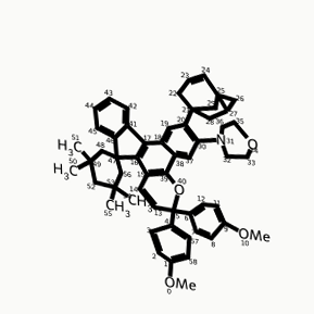 COc1ccc(C2(c3ccc(OC)cc3)C=Cc3c4c(c5cc(C67CC=CC8(CC8C6)C7)c(N6CCOCC6)cc5c3O2)-c2ccccc2C42CC(C)(C)CC(C)(C)C2)cc1